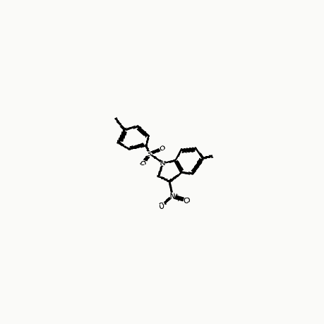 Cc1ccc(S(=O)(=O)N2CC([N+](=O)[O-])c3cc(C)ccc32)cc1